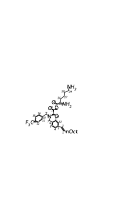 CCCCCCCCC#Cc1ccc(CN(Cc2ccc(C(F)(F)F)cc2)C(=O)C(=O)OC(=O)[C@@H](N)CCCCN)cc1